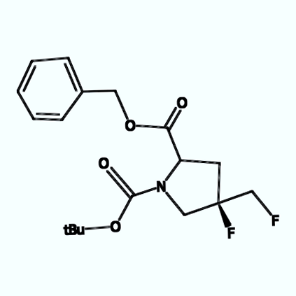 CC(C)(C)OC(=O)N1C[C@@](F)(CF)CC1C(=O)OCc1ccccc1